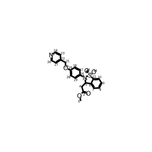 COC(=O)CC1c2ccccc2S(=O)(=O)N1c1ccc(OCc2ccncc2)cc1